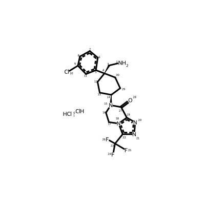 Cl.Cl.NC[C@]1(c2cccc(Cl)c2)CC[C@H](N2CCn3c(nnc3C(F)(F)F)C2=O)CC1